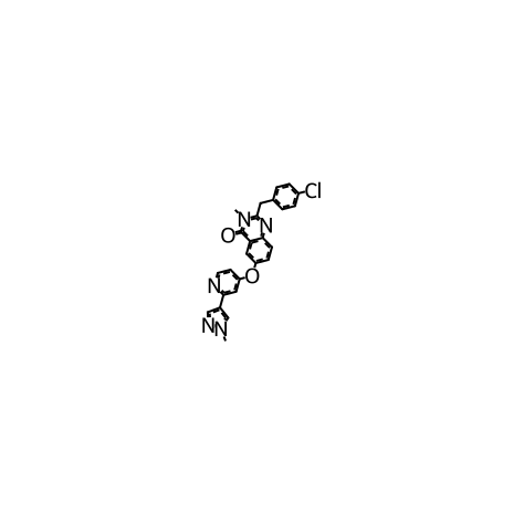 Cn1cc(-c2cc(Oc3ccc4nc(Cc5ccc(Cl)cc5)n(C)c(=O)c4c3)ccn2)cn1